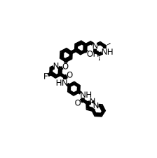 C[C@@H]1CN(Cc2ccc(-c3cccc(Oc4ncc(F)cc4C(=O)NC4CCC(NC(=O)c5cc6ccccn6n5)CC4)c3)cc2O)C[C@H](C)N1